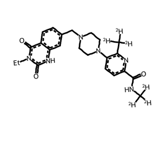 [2H]C([2H])([2H])NC(=O)c1ccc(N2CCN(Cc3ccc4c(=O)n(CC)c(=O)[nH]c4c3)CC2)c(C([2H])([2H])[2H])n1